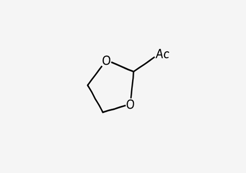 [CH2]C(=O)C1OCCO1